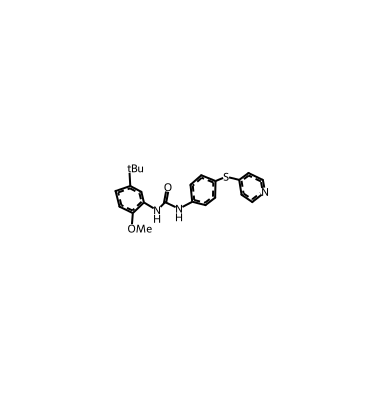 COc1ccc(C(C)(C)C)cc1NC(=O)Nc1ccc(Sc2ccncc2)cc1